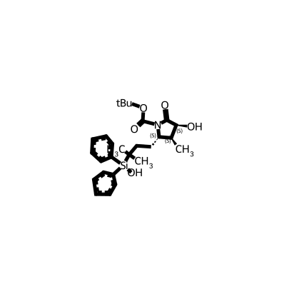 C[C@@H]1[C@H](O)C(=O)N(C(=O)OC(C)(C)C)[C@H]1CCC(C)(C)[Si](O)(c1ccccc1)c1ccccc1